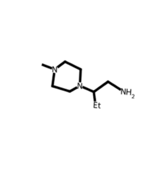 CCC(CN)N1CCN(C)CC1